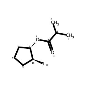 CC(C)C(=O)O[C@H]1CCC[C@@H]1I